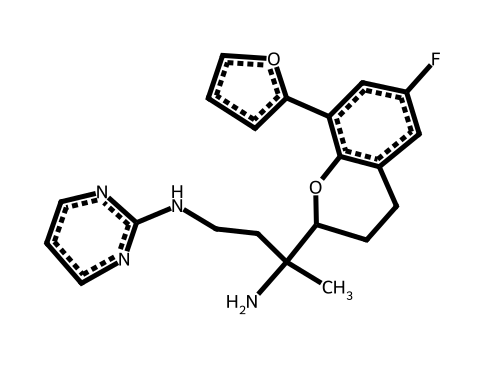 CC(N)(CCNc1ncccn1)C1CCc2cc(F)cc(-c3ccco3)c2O1